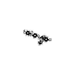 COc1ccc(C(=O)Nc2ccc(OC[C@@H]3CO[C@@](Cn4ccnc4)(c4ccc(Cl)cc4Cl)O3)cc2)cc1